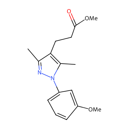 COC(=O)CCc1c(C)nn(-c2cccc(OC)c2)c1C